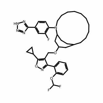 Fc1cc(-c2nn[nH]n2)ccc1N1CCCCCCCCCCC2CCC1CC(OCc1c(-c3ccccc3OC(F)F)noc1C1CC1)C2